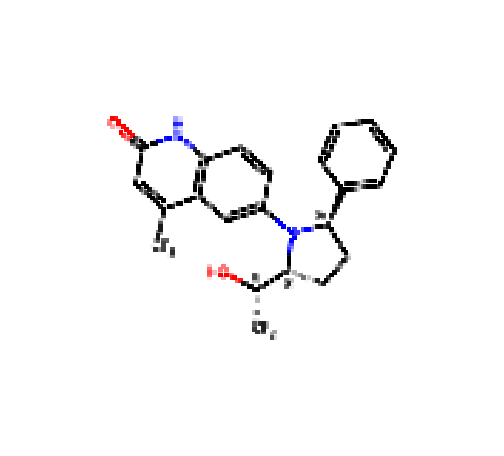 O=c1cc(C(F)(F)F)c2cc(N3[C@@H](c4ccccc4)CC[C@@H]3[C@@H](O)C(F)(F)F)ccc2[nH]1